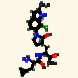 COC(=O)[C@H](C[C@@H]1CCN(c2ccc3cc(C(=O)O)[nH]c3c2Cl)C1=O)NC(=O)[C@@H](N)CC1CC1